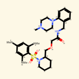 CNc1cc(NC)c(S(=O)(=O)N2CCCCC2COCC(=O)NCc2ccccc2N2CCN(C)CC2)c(NC)c1